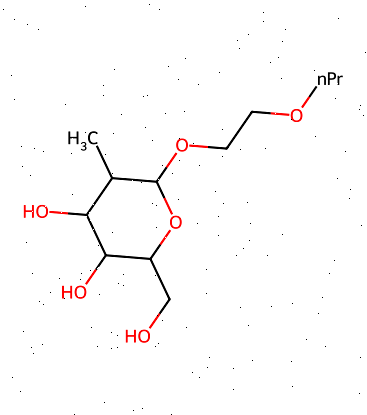 CCCOCCOC1OC(CO)C(O)C(O)C1C